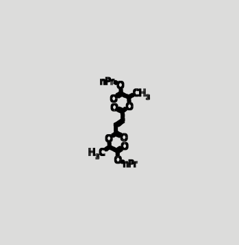 CCCOC(=O)C(C)OC(=O)/C=C/C(=O)OC(C)C(=O)OCCC